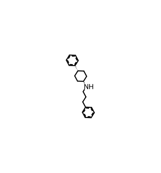 c1ccc(CCCN[C@H]2CC[C@@H](c3ccccc3)CC2)cc1